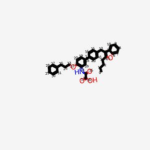 CCCCc1oc2ccccc2c1Cc1ccc(-c2ccc(OCCCc3ccccc3)c(NC(=O)C(=O)O)c2)cc1